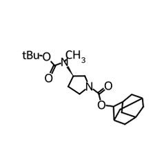 CN(C(=O)OC(C)(C)C)[C@@H]1CCN(C(=O)OC2C3CC4CC(C3)CC2C4)C1